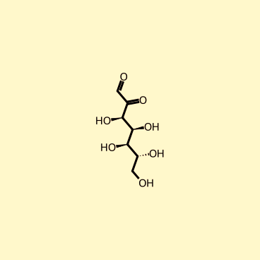 O=CC(=O)[C@H](O)[C@@H](O)[C@H](O)[C@H](O)CO